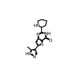 Cc1[nH]ncc1-c1cc2nc(C3CCCCN3)[nH]c(=O)c2s1